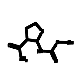 CC(C)(C)OC(=O)NC1SCCC1C(N)=O